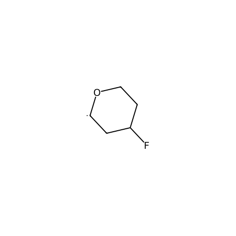 FC1C[CH]OCC1